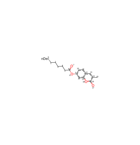 CCCCCCCCCCCCCCCC(=O)Oc1ccc2cc(C)c(=O)oc2c1